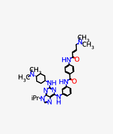 CC(C)n1cnc2c(Nc3cccc(NC(=O)c4ccc(NC(=O)/C=C/CN(C)C)cc4)c3)nc(N[C@H]3CC[C@H](N(C)C)CC3)nc21